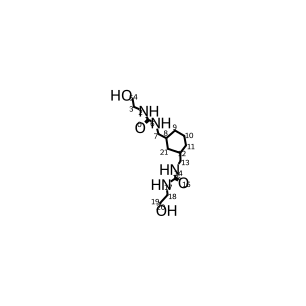 O=C(NCCO)NCC1CCCC(CNC(=O)NCCO)C1